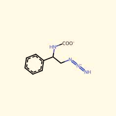 N=[N+]=NCC(NC(=O)[O-])c1ccccc1